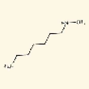 [CH2]CCCCCCNC